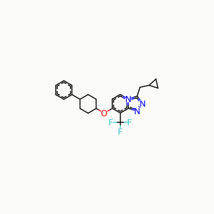 FC(F)(F)c1c(OC2CCC(c3ccccc3)CC2)ccn2c(CC3CC3)nnc12